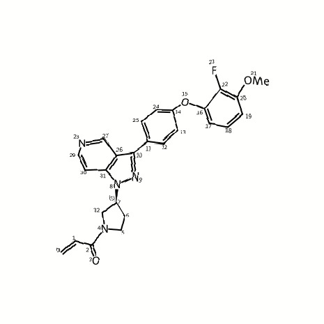 C=CC(=O)N1CC[C@H](n2nc(-c3ccc(Oc4cccc(OC)c4F)cc3)c3cnccc32)C1